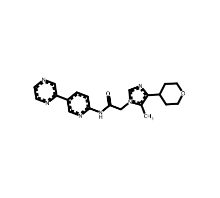 Cc1c(C2CCOCC2)ncn1CC(=O)Nc1ccc(-c2cnccn2)cn1